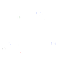 CC(C)NC(=O)/C=C/c1cc(N)ccc1N.Cl